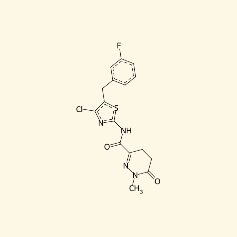 CN1N=C(C(=O)Nc2nc(Cl)c(Cc3cccc(F)c3)s2)CCC1=O